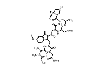 CNCC(=O)N[C@@H](C[S+]([O-])c1[nH]c2cc(OI)ccc2c1C[C@H](NC(=O)[C@@H](N)[C@@H](C)[C@@H](O)CO)C(=O)NCC(=O)NC)C(=O)N[C@@H](CC(N)=O)C(=O)N1C[C@H](O)CC12CC2=O